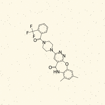 Cc1cc(C)c2c(c1)Oc1nnc(N3CCN(C(=O)c4ccccc4C(F)(F)F)CC3)cc1C(=O)N2